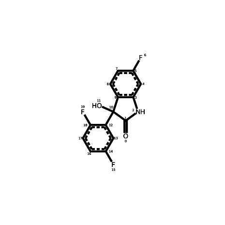 O=C1Nc2cc(F)ccc2C1(O)c1cc(F)ccc1F